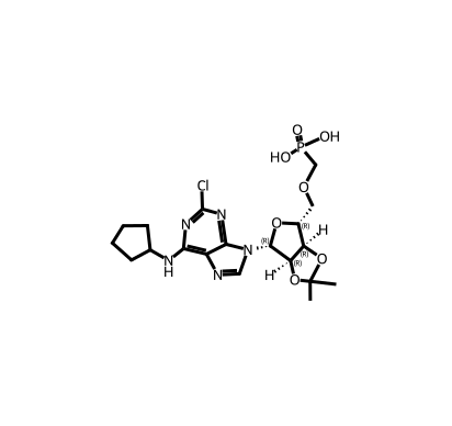 CC1(C)O[C@@H]2[C@H](O1)[C@@H](COCP(=O)(O)O)O[C@H]2n1cnc2c(NC3CCCC3)nc(Cl)nc21